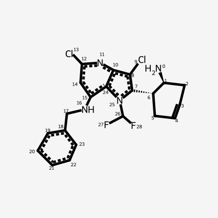 N[C@H]1CC=CC[C@@H]1c1c(Cl)c2nc(Cl)cc(NCc3ccccc3)c2n1C(F)F